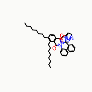 CCCCCCCCc1ccc(C(=O)Oc2ccnn2C)c(C(=O)N(c2ccccc2)n2ccnc2-c2ccccc2)c1CCCCCCCC